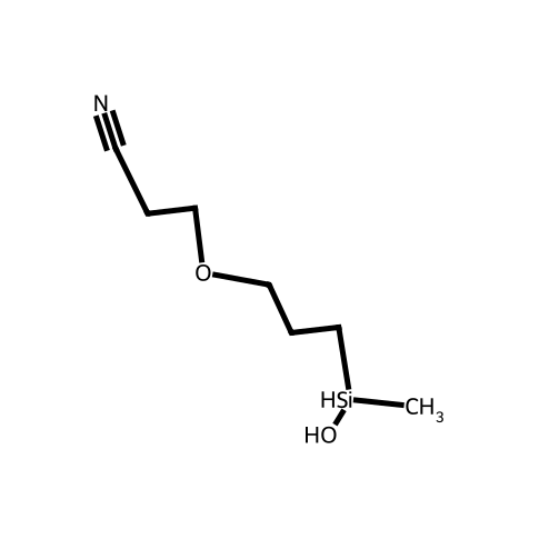 C[SiH](O)CCCOCCC#N